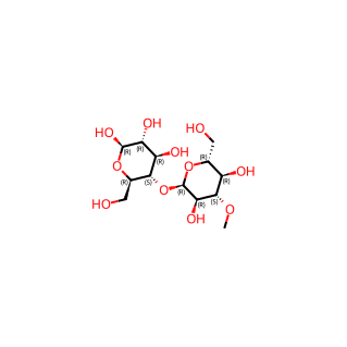 CO[C@@H]1[C@@H](O)[C@@H](O[C@H]2[C@H](O)[C@@H](O)[C@H](O)O[C@@H]2CO)O[C@H](CO)[C@H]1O